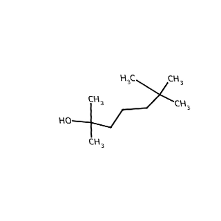 CC(C)(C)CCCC(C)(C)O